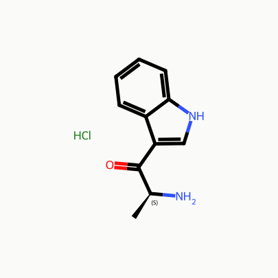 C[C@H](N)C(=O)c1c[nH]c2ccccc12.Cl